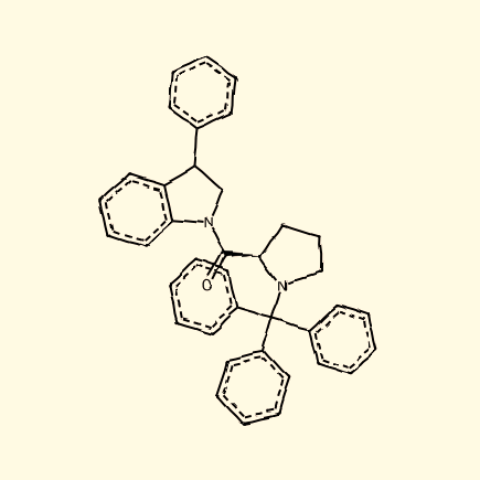 O=C([C@H]1CCCN1C(c1ccccc1)(c1ccccc1)c1ccccc1)N1CC(c2ccccc2)c2ccccc21